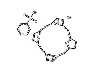 C1=Cc2cc3ccc(cc4nc(cc5ccc(cc1n2)[nH]5)C=C4)[nH]3.O=S(=O)(O)c1ccccc1.[Cu]